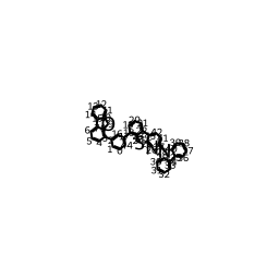 c1cc(-c2cccc3c2oc2ccccc23)cc(-c2cccc3c2sc2nc(-n4c5ccccc5c5ccccc54)ccc23)c1